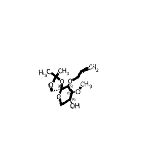 C=CCO[C@H]1[C@H](OC)[C@H](O)CO[C@]12COC(C)(C)O2